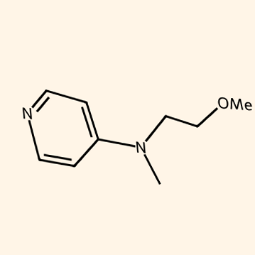 COCCN(C)c1ccncc1